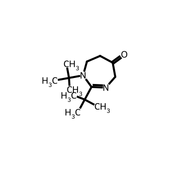 CC(C)(C)C1=NCC(=O)CCN1C(C)(C)C